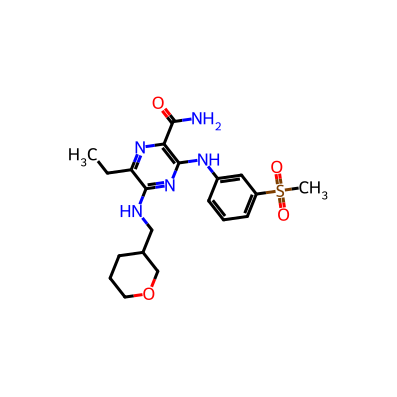 CCc1nc(C(N)=O)c(Nc2cccc(S(C)(=O)=O)c2)nc1NCC1CCCOC1